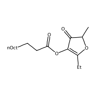 CCCCCCCCCCC(=O)OC1=C(CC)OC(C)C1=O